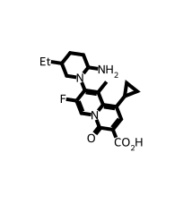 CCC1CCC(N)N(c2c(F)cn3c(=O)c(C(=O)O)cc(C4CC4)c3c2C)C1